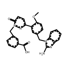 COc1ccc(Cn2c(N)nc3ccccc32)cc1-c1ccc(=O)n(Cc2cccc(C(=O)O)c2)n1